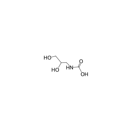 O=C(O)NCC(O)CO